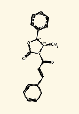 C[C@@H]1[C@H](c2ccccc2)OC(=O)N1C(=O)C=CC1C=CC=CC1